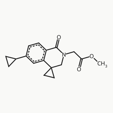 COC(=O)CN1CC2(CC2)c2cc(C3CC3)ccc2C1=O